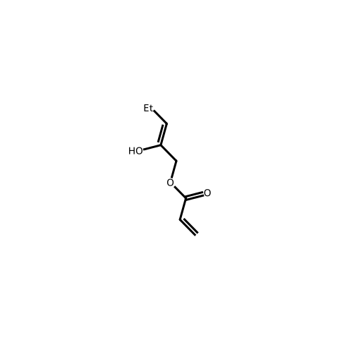 C=CC(=O)OCC(O)=CCC